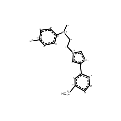 CN(CCn1cnc(-c2cc(C(=O)O)ccn2)c1)c1ccc(F)cc1